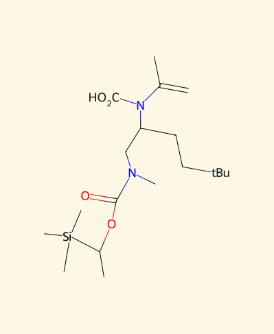 C=C(C)N(C(=O)O)C(CCC(C)(C)C)CN(C)C(=O)OC(C)[Si](C)(C)C